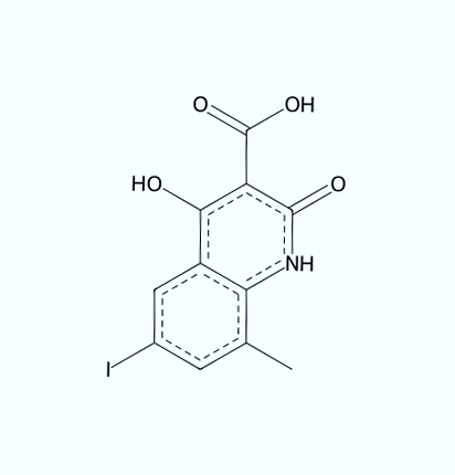 Cc1cc(I)cc2c(O)c(C(=O)O)c(=O)[nH]c12